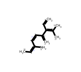 C=CC(C(=C)/C=C\C(N)=C/C)=C(C)C